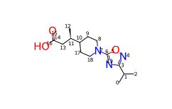 CC(C)c1noc(N2CCC([C@H](C)CC(=O)O)CC2)n1